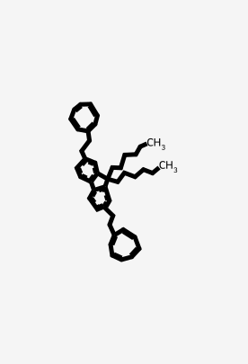 CCCCCCC1(CCCCCC)c2cc(CCC3=C/C=C\C=C/C=C\3)ccc2-c2ccc(CCC3=C/C=C\C=C/C=C\3)cc21